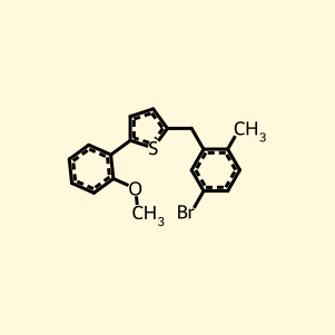 COc1ccccc1-c1ccc(Cc2cc(Br)ccc2C)s1